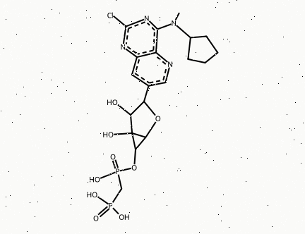 CN(c1nc(Cl)nc2cc(C3OC4C(OP(=O)(O)CP(=O)(O)O)C4(O)C3O)cnc12)C1CCCC1